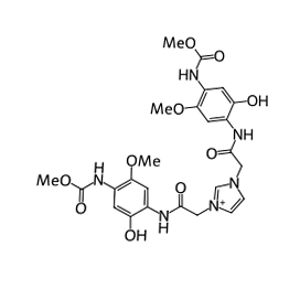 COC(=O)Nc1cc(O)c(NC(=O)Cn2cc[n+](CC(=O)Nc3cc(OC)c(NC(=O)OC)cc3O)c2)cc1OC